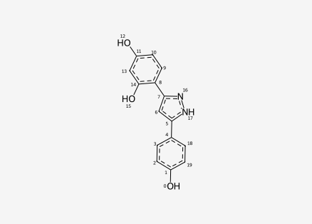 Oc1ccc(-c2cc(-c3ccc(O)cc3O)n[nH]2)cc1